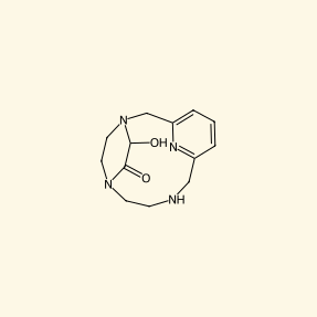 O=C1C(O)N2CCN1CCNCc1cccc(n1)C2